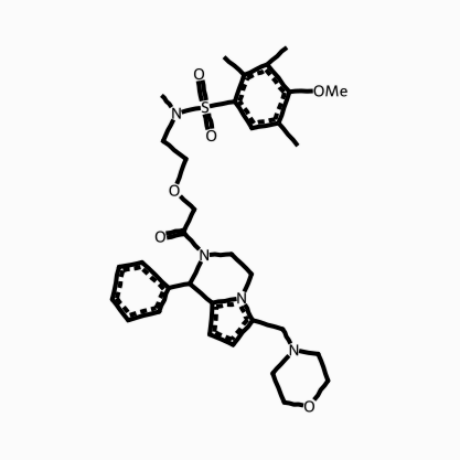 COc1c(C)cc(S(=O)(=O)N(C)CCOCC(=O)N2CCn3c(CN4CCOCC4)ccc3C2c2ccccc2)c(C)c1C